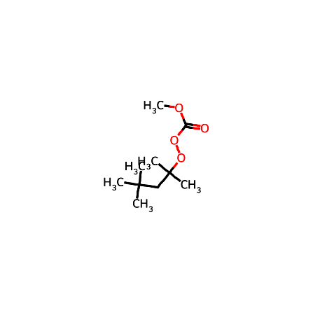 COC(=O)OOC(C)(C)CC(C)(C)C